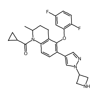 CC1CCc2c(ccc(-c3cnn(C4CNC4)c3)c2Oc2cc(F)ccc2F)N1C(=O)C1CC1